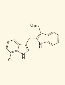 O=Cc1c(Cc2c[nH]c3c(Cl)cccc23)[nH]c2ccccc12